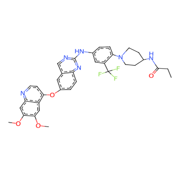 CCC(=O)NC1CCN(c2ccc(Nc3ncc4cc(Oc5ccnc6cc(OC)c(OC)cc56)ccc4n3)cc2C(F)(F)F)CC1